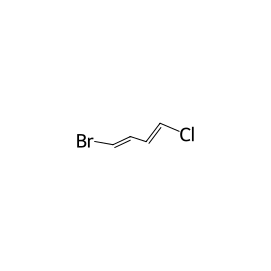 ClC=CC=CBr